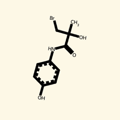 CC(O)(CBr)C(=O)Nc1ccc(O)cc1